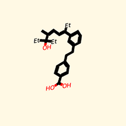 CCC(=CC=C(C)C(O)(CC)CC)c1cccc(CCc2ccc(C(O)O)cc2)c1